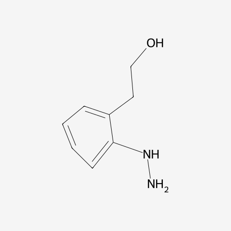 NNc1ccccc1CCO